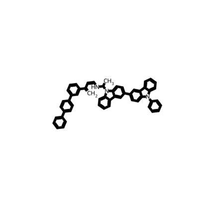 C=C(/C=C\NC(C)n1c2ccccc2c2cc(-c3ccc4c(c3)c3ccccc3n4-c3ccccc3)ccc21)c1cccc(-c2ccc(-c3ccccc3)cc2)c1